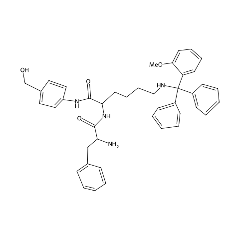 COc1ccccc1C(NCCCCC(NC(=O)C(N)Cc1ccccc1)C(=O)Nc1ccc(CO)cc1)(c1ccccc1)c1ccccc1